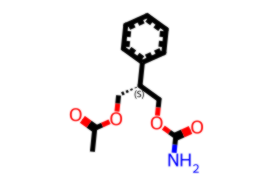 CC(=O)OC[C@@H](COC(N)=O)c1ccccc1